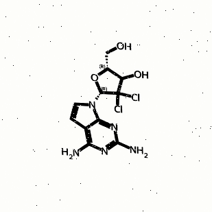 Nc1nc(N)c2ccn([C@@H]3O[C@H](CO)C(O)C3(Cl)Cl)c2n1